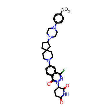 O=C1CCC(n2nc(F)c3cc(N4CCC5(CCC(N6CCN(c7ccc([N+](=O)[O-])cc7)CC6)C5)CC4)ccc3c2=O)C(=O)N1